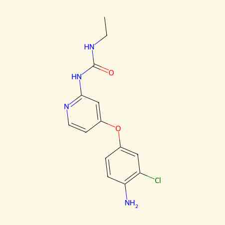 CCNC(=O)Nc1cc(Oc2ccc(N)c(Cl)c2)ccn1